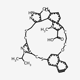 Cc1[nH]nc2c1-c1c(Cl)ccc3c(c(C(=O)O)n(C)c13)CCCOc1cc(cc3c#cccc13)SCc1cc(nn1C(C)C)CSC2